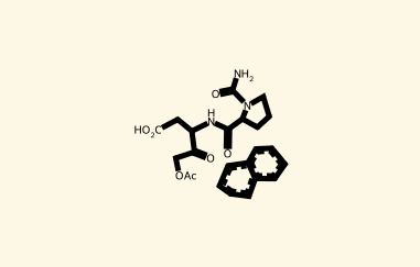 CC(=O)OCC(=O)C(CC(=O)O)NC(=O)C1CCCN1C(N)=O.c1ccc2ccccc2c1